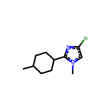 CC1CCC(c2nc(Br)cn2C)CC1